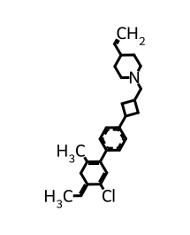 C=CC1CCN(CC2CC(c3ccc(C4=C(C)C/C(=C\C)C(Cl)=C4)cc3)C2)CC1